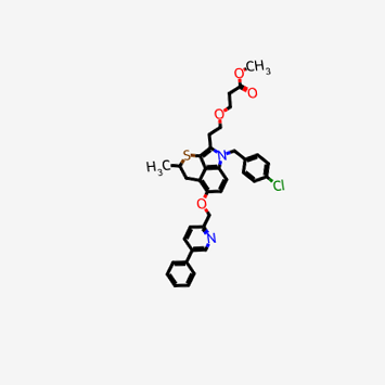 COC(=O)CCOCCc1c2c3c(c(OCc4ccc(-c5ccccc5)cn4)ccc3n1Cc1ccc(Cl)cc1)CC(C)S2